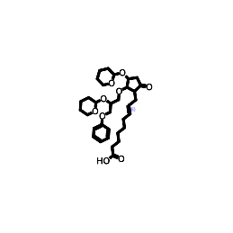 O=C(O)CCCCC/C=C/CC1C(=O)CC(OC2CCCCO2)C1OCC(COc1ccccc1)OC1CCCCO1